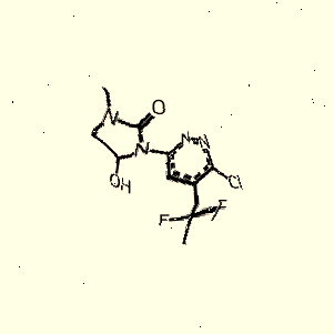 CN1CC(O)N(c2cc(C(C)(F)F)c(Cl)nn2)C1=O